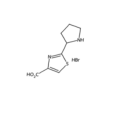 Br.O=C(O)c1csc(C2CCCN2)n1